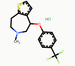 CN1CCc2sccc2C(Oc2ccc(C(F)(F)F)cc2)C1.Cl